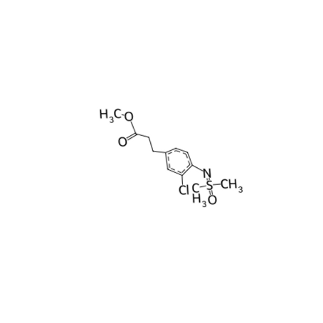 COC(=O)CCc1ccc(N=S(C)(C)=O)c(Cl)c1